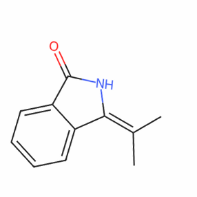 CC(C)=C1NC(=O)c2ccccc21